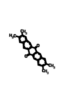 Cc1cc2cc3c(cc2cc1C)C(=O)c1cc2cc(C)c(C)cc2cc1C3=O